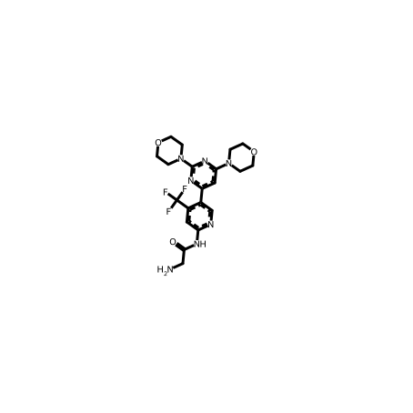 NCC(=O)Nc1cc(C(F)(F)F)c(-c2cc(N3CCOCC3)nc(N3CCOCC3)n2)cn1